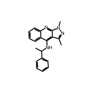 Cc1nn(C)c2nc3ccccc3c(NC(C)c3ccccc3)c12